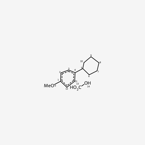 COc1ccc(C2CCCCC2)cc1.O=C(O)O